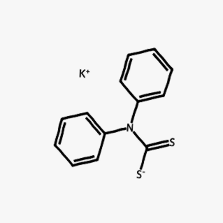 S=C([S-])N(c1ccccc1)c1ccccc1.[K+]